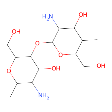 CC1OC(CO)C(OC2OC(CO)C(C)C(O)C2N)C(O)C1N